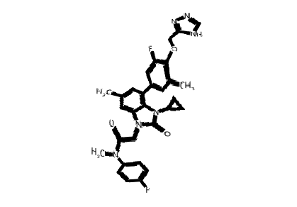 Cc1cc(-c2cc(C)c(OCc3nnc[nH]3)c(F)c2)c2c(c1)n(CC(=O)N(C)c1ccc(F)cc1)c(=O)n2C1CC1